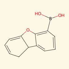 OB(O)c1cccc2c1OC1=CC=CCC12